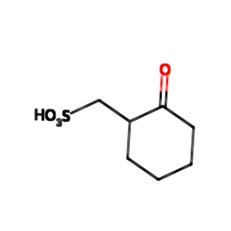 O=C1CCCCC1CS(=O)(=O)O